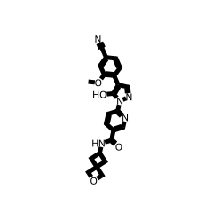 COc1cc(C#N)ccc1-c1cnn(-c2ccc(C(=O)NC3CC4(COC4)C3)cn2)c1O